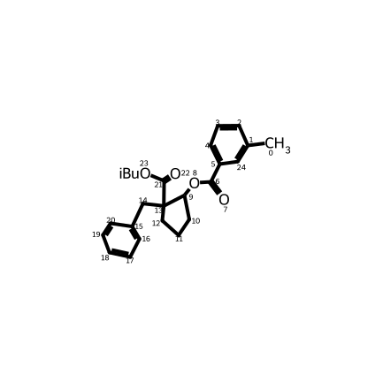 Cc1cccc(C(=O)OC2CCCC2(Cc2ccccc2)C(=O)OCC(C)C)c1